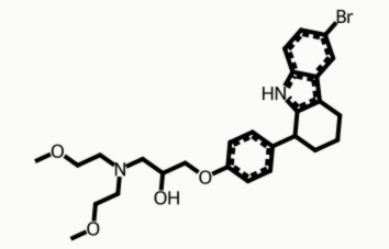 COCCN(CCOC)CC(O)COc1ccc(C2CCCc3c2[nH]c2ccc(Br)cc32)cc1